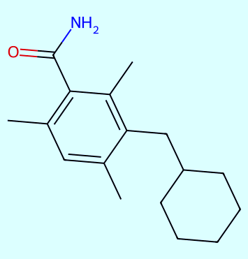 Cc1cc(C)c(C(N)=O)c(C)c1CC1CCCCC1